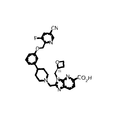 N#Cc1cnc(COc2cccc(C3CCN(Cc4nc5ccc(C(=O)O)nc5n4C[C@@H]4CCO4)CC3)c2)c(F)c1